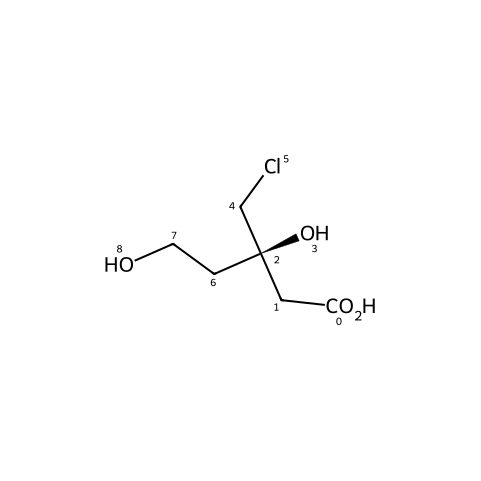 O=C(O)C[C@@](O)(CCl)CCO